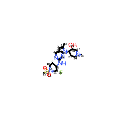 Cc1cc2cnc(N[C@@H]3CCN(S(C)(=O)=O)C[C@H]3F)nc2n1[C@H]1CCN(C)C[C@H]1O